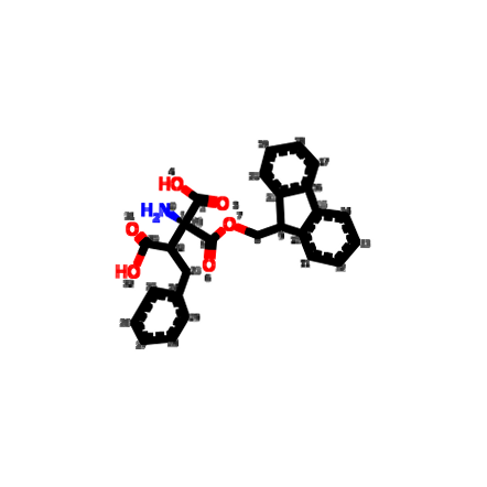 N[C@@](C(=O)O)(C(=O)OCC1c2ccccc2-c2ccccc21)C(Cc1ccccc1)C(=O)O